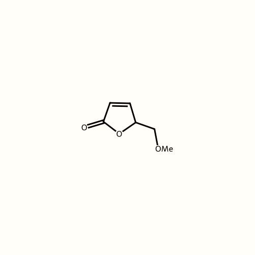 COCC1C=CC(=O)O1